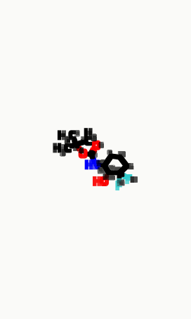 CC(C)(C)OC(=O)N[C@H]1CCCC(F)(F)[C@@H]1O